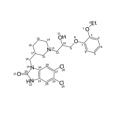 CCOc1ccccc1OCC(O)CN1CCCC(Cn2c(=O)[nH]c3cc(Cl)c(Cl)cc32)C1